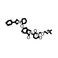 C[Si](C)(C)CCOCN1C(=O)CCC(N2Cc3cc(O[C@H]4CCCC[C@@H]4N4CC(c5ccccc5)C4)ccc3C2=O)C1=O